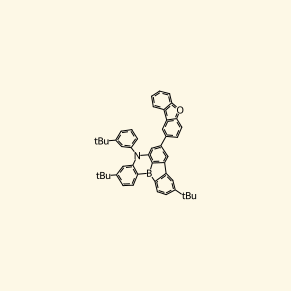 CC(C)(C)c1cccc(N2c3cc(C(C)(C)C)ccc3B3c4ccc(C(C)(C)C)cc4-c4cc(-c5ccc6oc7ccccc7c6c5)cc2c43)c1